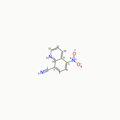 N#Cc1ccc([N+](=O)[O-])c2cccnc12